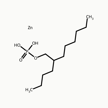 CCCCCCC(CCCC)COP(=O)(O)O.[Zn]